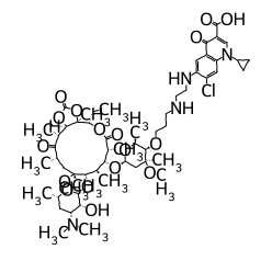 CC[C@@H]1OC(=O)[C@H](C)[C@H](O[C@@H]2C[C@](C)(OC)[C@H](OCCCNCCNc3cc4c(=O)c(C(=O)O)cn(C5CC5)c4cc3Cl)[C@H](C)O2)[C@@H](C)[C@H](O[C@H]2O[C@@H](C)C[C@@H](N(C)C)[C@H]2O)[C@](C)(OC)C[C@H](C)C(=O)[C@H](C)[C@H]2OC(=O)O[C@@]12C